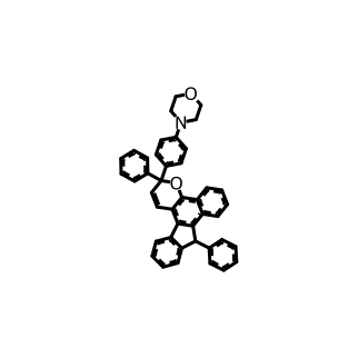 C1=CC(c2ccccc2)(c2ccc(N3CCOCC3)cc2)Oc2c1c1c(c3ccccc23)C(c2ccccc2)c2ccccc2-1